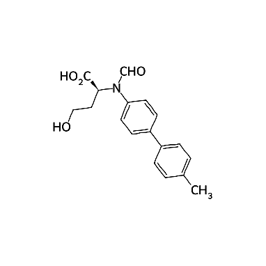 Cc1ccc(-c2ccc(N(C=O)[C@@H](CCO)C(=O)O)cc2)cc1